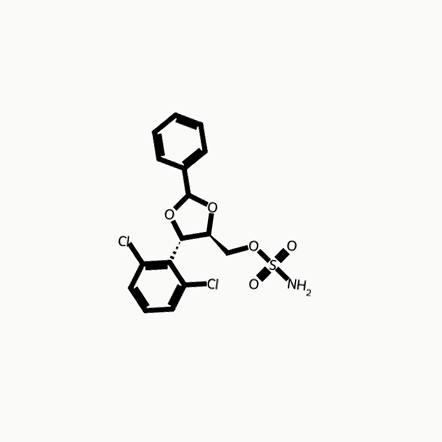 NS(=O)(=O)OC[C@@H]1OC(c2ccccc2)O[C@H]1c1c(Cl)cccc1Cl